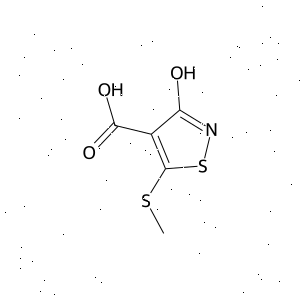 CSc1snc(O)c1C(=O)O